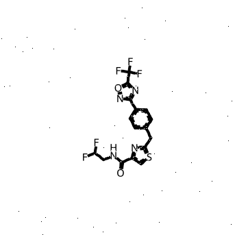 O=C(NCC(F)F)c1csc(Cc2ccc(-c3noc(C(F)(F)F)n3)cc2)n1